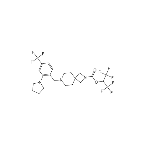 O=C(OC(C(F)(F)F)C(F)(F)F)N1CC2(CCN(Cc3ccc(C(F)(F)F)cc3N3CCCC3)CC2)C1